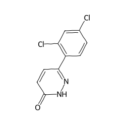 O=c1ccc(-c2ccc(Cl)cc2Cl)n[nH]1